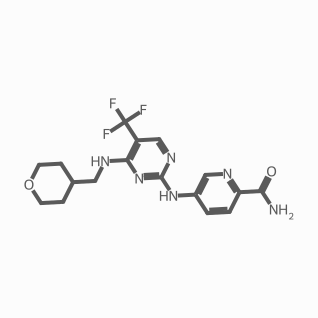 NC(=O)c1ccc(Nc2ncc(C(F)(F)F)c(NCC3CCOCC3)n2)cn1